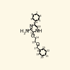 NC1=NC(c2ccccc2)=[C]NC1OCCOCc1ccccc1